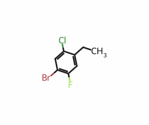 CCc1cc(F)c(Br)cc1Cl